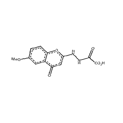 COc1ccc2oc(NNC(=O)C(=O)O)cc(=O)c2c1